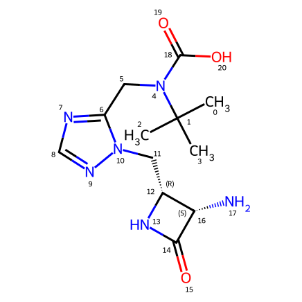 CC(C)(C)N(Cc1ncnn1C[C@H]1NC(=O)[C@H]1N)C(=O)O